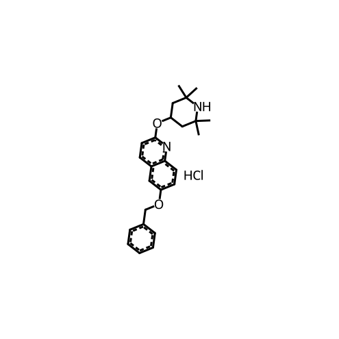 CC1(C)CC(Oc2ccc3cc(OCc4ccccc4)ccc3n2)CC(C)(C)N1.Cl